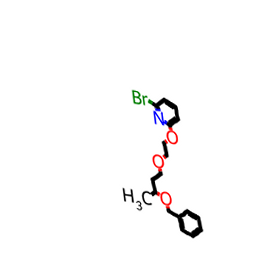 CC(CCOCCOc1cccc(Br)n1)OCc1ccccc1